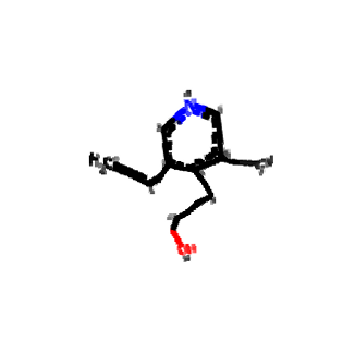 C=Cc1cncc(C#N)c1CCO